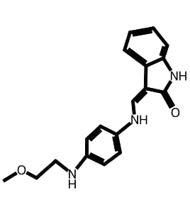 COCCNc1ccc(NC=C2C(=O)Nc3ccccc32)cc1